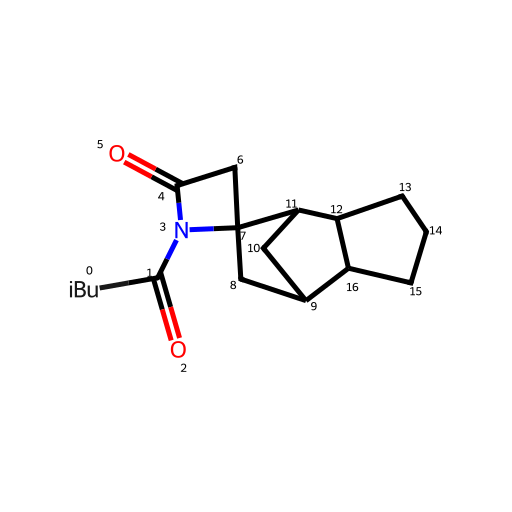 CCC(C)C(=O)N1C(=O)CC12CC1CC2C2CCCC12